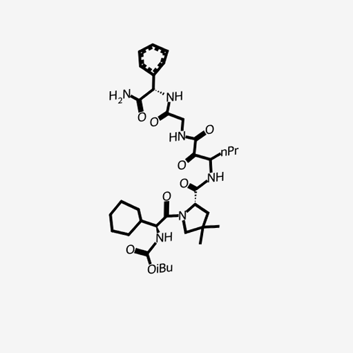 CCCC(NC(=O)[C@@H]1CC(C)(C)CN1C(=O)[C@@H](NC(=O)OCC(C)C)C1CCCCC1)C(=O)C(=O)NCC(=O)N[C@H](C(N)=O)c1ccccc1